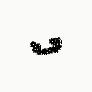 COC(=O)N[C@@H](C(=O)N1CCC[C@H]1c1ncc(-c2ccc(-c3ccc(-c4cnc([C@@H]5CCCN5C(=O)[C@H](C)c5ccccc5)[nH]4)nn3)cc2)[nH]1)c1ccccc1